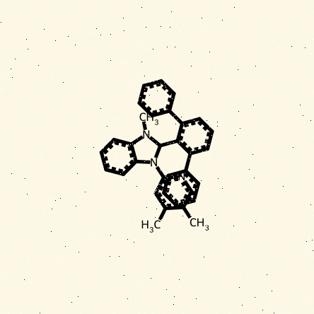 Cc1cnc(N2c3ccccc3N(C)C2c2c(-c3ccccc3)cccc2-c2ccccc2)cc1C